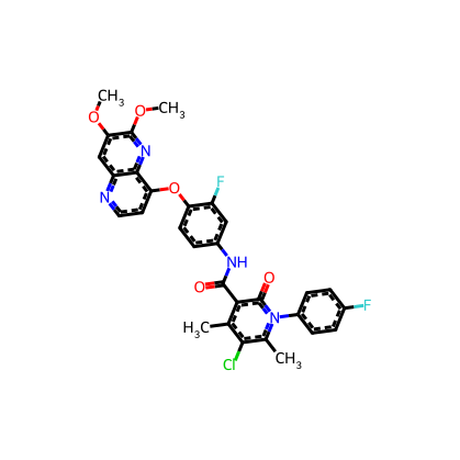 COc1cc2nccc(Oc3ccc(NC(=O)c4c(C)c(Cl)c(C)n(-c5ccc(F)cc5)c4=O)cc3F)c2nc1OC